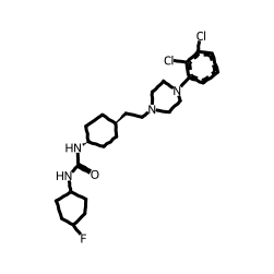 O=C(NC1CCC(F)CC1)N[C@H]1CC[C@H](CCN2CCN(c3cccc(Cl)c3Cl)CC2)CC1